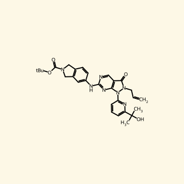 C=CCn1c(=O)c2cnc(Nc3ccc4c(c3)CN(C(=O)OC(C)(C)C)C4)nc2n1-c1cccc(C(C)(C)O)n1